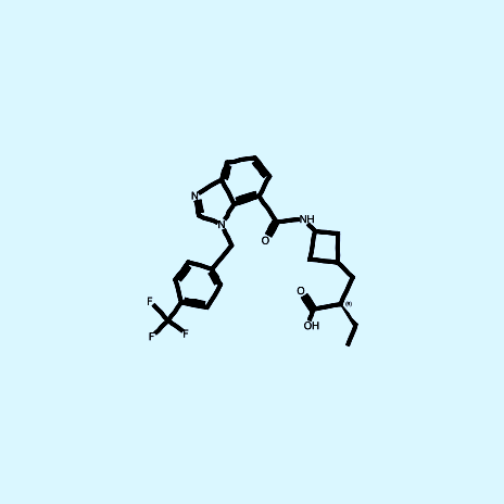 CC[C@H](CC1CC(NC(=O)c2cccc3ncn(Cc4ccc(C(F)(F)F)cc4)c23)C1)C(=O)O